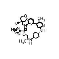 Cc1cnc(N[C@H]2CC[C@H](N[C@H](C)COC3(c4nn[nH]n4)CC3)CC2)cc1-c1cccc(NCC2(C#N)CCOCC2)n1